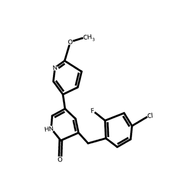 COc1ccc(-c2c[nH]c(=O)c(Cc3ccc(Cl)cc3F)c2)cn1